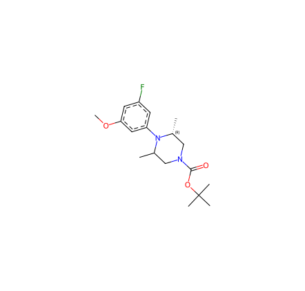 COc1cc(F)cc(N2C(C)CN(C(=O)OC(C)(C)C)C[C@H]2C)c1